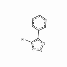 CC(C)c1snnc1-c1ccccc1